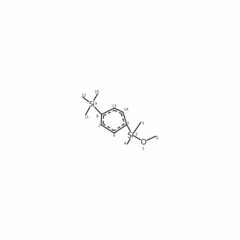 CO[Si](C)(C)c1ccc([Si](C)(C)C)cc1